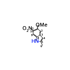 COc1cc2cc(C)[nH]c2cc1[N+](=O)[O-]